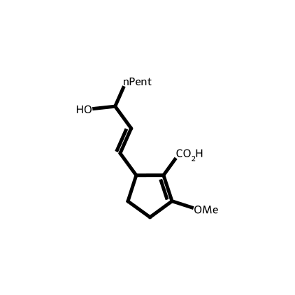 CCCCCC(O)C=CC1CCC(OC)=C1C(=O)O